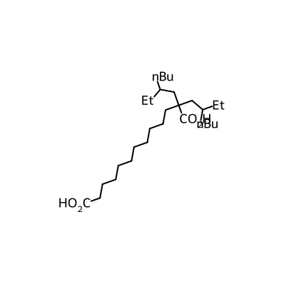 CCCCC(CC)CC(CCCCCCCCCCC(=O)O)(CC(CC)CCCC)C(=O)O